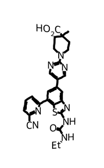 CCNC(=O)Nc1nc2cc(-c3cnc(N4CCC(C)(C(=O)O)CC4)nc3)cc(-c3cccc(C#N)n3)c2s1